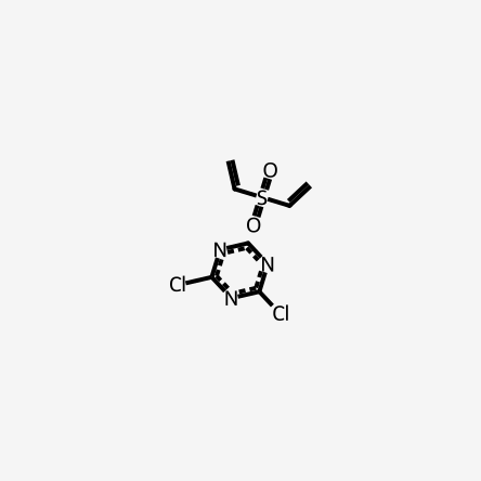 C=CS(=O)(=O)C=C.Clc1ncnc(Cl)n1